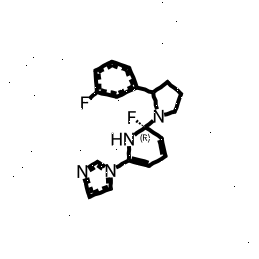 Fc1cccc(C2CCCN2[C@@]2(F)C=CC=C(n3ccnc3)N2)c1